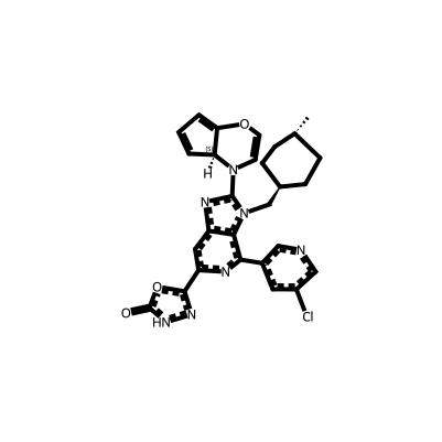 C[C@H]1CC[C@H](Cn2c(N3C=COC4=CC=C[C@@H]43)nc3cc(-c4n[nH]c(=O)o4)nc(-c4cncc(Cl)c4)c32)CC1